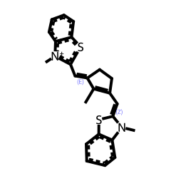 CC1=C(/C=C2\Sc3ccccc3N2C)CC/C1=C\c1sc2ccccc2[n+]1C